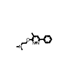 Cc1cc(-c2ccccc2)nnc1OCCN(C)C